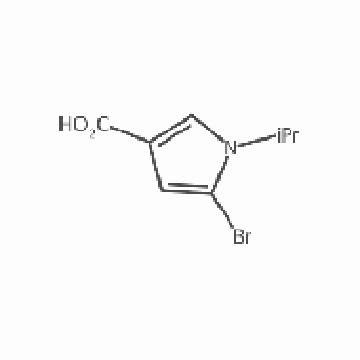 CC(C)n1cc(C(=O)O)cc1Br